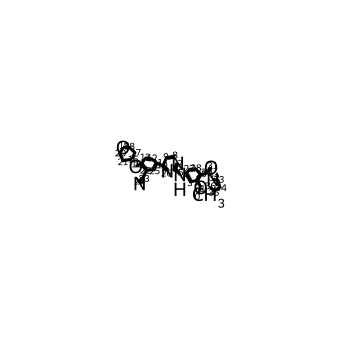 COc1cc(Nc2nccc(-c3ccc(OC4CCOCC4)c(C#N)c3)n2)ccc1C(=O)N1CCCC1